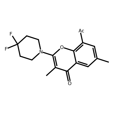 CC(=O)c1cc(C)cc2c(=O)c(C)c(N3CCC(F)(F)CC3)oc12